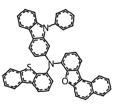 c1ccc(-n2c3ccccc3c3ccc(N(c4cccc5c4oc4ccc6ccccc6c45)c4cccc5c4sc4ccccc45)cc32)cc1